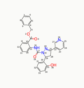 O=C(OCc1ccccc1)c1ccccc1NC(=O)N1N=C(c2cccnc2)CC1c1ccccc1O